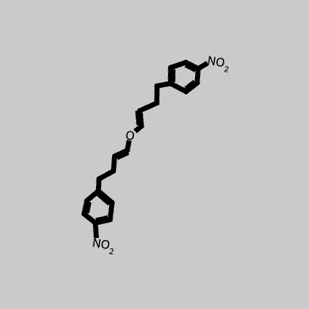 O=[N+]([O-])c1ccc(CCC=COC=CCCc2ccc([N+](=O)[O-])cc2)cc1